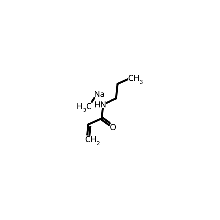 C=CC(=O)NCCC.[CH3][Na]